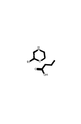 CCC1CNCCO1.CCCC(=O)O